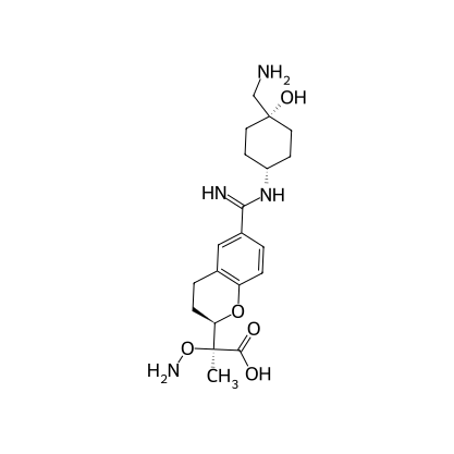 C[C@@](ON)(C(=O)O)[C@H]1CCc2cc(C(=N)N[C@H]3CC[C@](O)(CN)CC3)ccc2O1